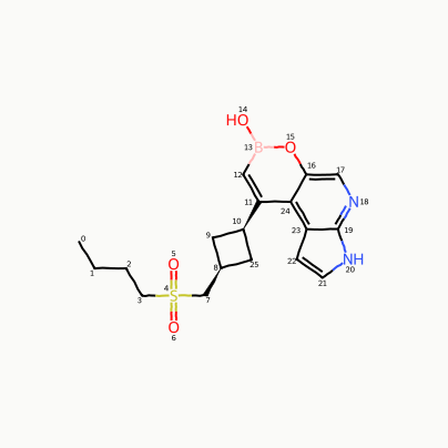 CCCCS(=O)(=O)C[C@H]1C[C@@H](C2=CB(O)Oc3cnc4[nH]ccc4c32)C1